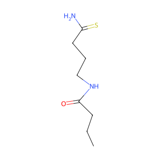 CCCC(=O)NCCCC(N)=S